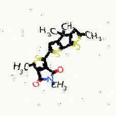 Cc1cc2c(s1)-c1sc(-c3sc(C)c4c3C(=O)N(C)C4=O)cc1C2(C)C